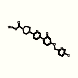 CC(C)(C)OC(=O)N1CCN(c2ccc(-n3ccc(OCc4ccc(Cl)cn4)cc3=O)cn2)CC1